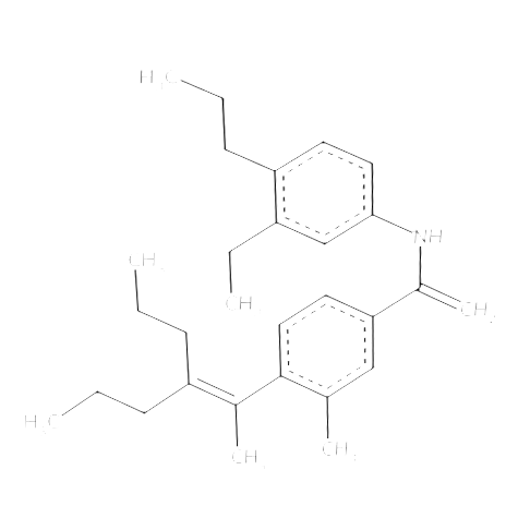 C=C(Nc1ccc(CCC)c(CC)c1)c1ccc(C(C)=C(CCC)CCC)c(C)c1